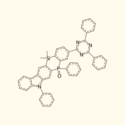 C[Si]1(C)c2ccc(-c3nc(-c4ccccc4)nc(-c4ccccc4)n3)cc2P(=O)(c2ccccc2)c2cc3c(cc21)c1ccccc1n3-c1ccccc1